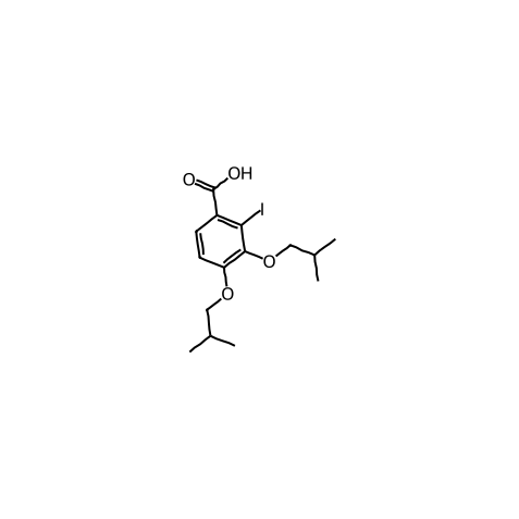 CC(C)COc1ccc(C(=O)O)c(I)c1OCC(C)C